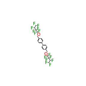 FC(F)C(F)C(F)(F)C(F)(F)OCc1ccc(-c2ccc(COC(F)(F)C(F)(F)C(F)C(F)F)cc2)cc1